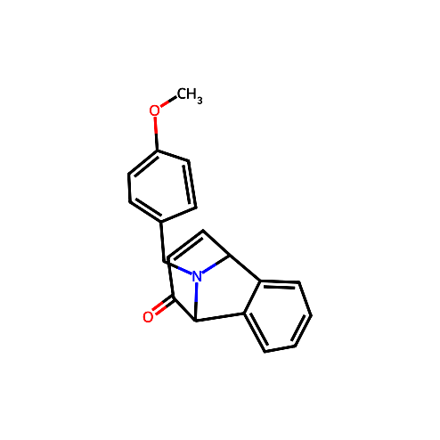 COc1ccc(CN2C3C=CC(=O)C2c2ccccc23)cc1